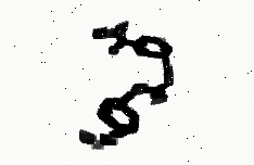 COC(=O)c1cncc(OC(=O)Oc2ccc([N+](=O)[O-])cc2)c1